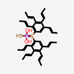 CC=Cc1cc(S(c2cc(C=CC)c(C=CC)c(C=CC)c2C=CC)=P(O)(O)S)c(C=CC)c(C=CC)c1C=CC